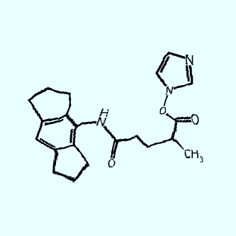 CC(CCC(=O)Nc1c2c(cc3c1CCC3)CCC2)C(=O)On1ccnc1